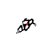 C/C(=C/n1c2c(c3ccccc31)CN(C)CC2)c1ccc(F)cc1